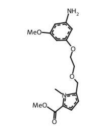 COC(=O)c1ccc(COCCOc2cc(N)cc(OC)c2)n1C